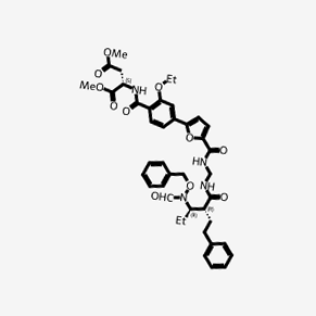 CCOc1cc(-c2ccc(C(=O)NCNC(=O)[C@H](CCc3ccccc3)[C@@H](CC)N(C=O)OCc3ccccc3)o2)ccc1C(=O)N[C@@H](CC(=O)OC)C(=O)OC